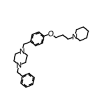 c1ccc(CN2CCN(Cc3ccc(OCCCN4CCCCC4)cc3)CC2)cc1